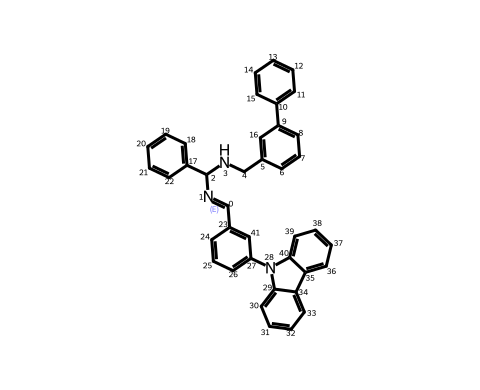 C(=N\C(NCc1cccc(-c2ccccc2)c1)c1ccccc1)/c1cccc(-n2c3ccccc3c3ccccc32)c1